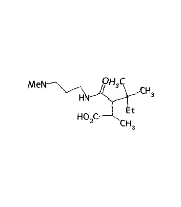 CCC(C)(C)C(C(=O)NCCCNC)C(C)C(=O)O